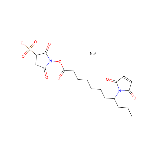 CCCC(CCCCCCC(=O)ON1C(=O)CC(S(=O)(=O)[O-])C1=O)N1C(=O)C=CC1=O.[Na+]